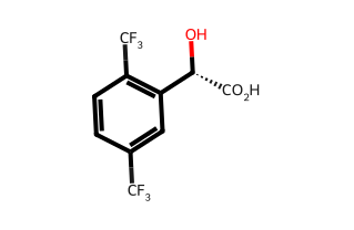 O=C(O)[C@@H](O)c1cc(C(F)(F)F)ccc1C(F)(F)F